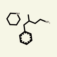 C1CCNCC1.CC(CCN)Cc1ccccc1